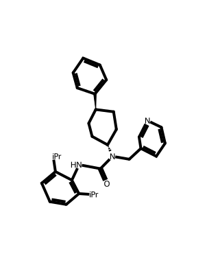 CC(C)c1cccc(C(C)C)c1NC(=O)N(Cc1cccnc1)[C@H]1CC[C@H](c2ccccc2)CC1